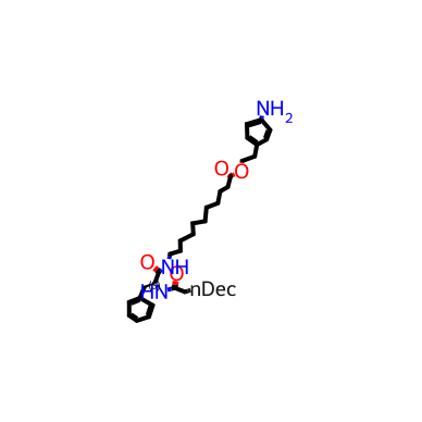 CCCCCCCCCCCC(=O)N[C@@H](Cc1ccccc1)C(=O)NCCCCCCCCCCC(=O)OCCc1ccc(N)cc1